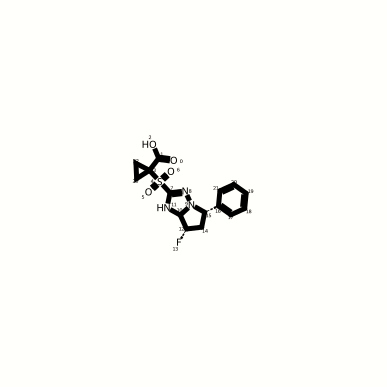 O=C(O)C1(S(=O)(=O)C2=NN3C(N2)[C@@H](F)C[C@H]3c2ccccc2)CC1